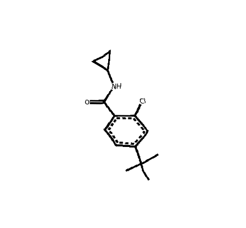 CC(C)(C)c1ccc(C(=O)NC2CC2)c(Cl)c1